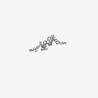 COc1ccc(CNS(=O)(=O)c2c(C(F)(F)F)ccc(-c3ccc(C(=N)NC4CN(C(=O)OC(C)(C)C)C4)cc3)c2-c2nnnn2Cc2ccc(OC)cc2)cc1